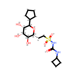 O=C(NC1CCC1)NS(=O)(=O)CC[C@H]1OC(C2CCCC2)[C@@H](O)[C@@H](O)[C@@H]1O